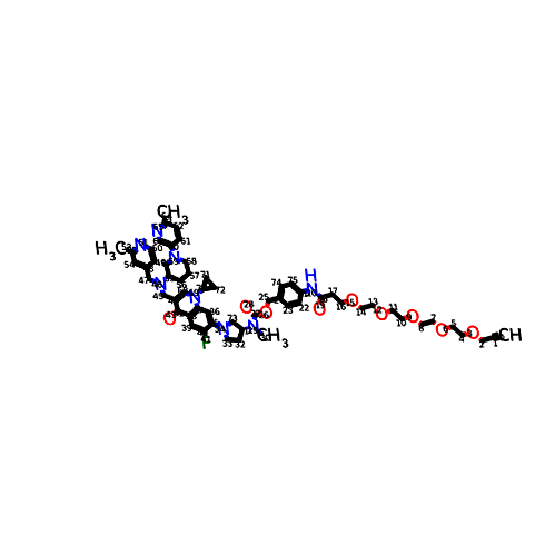 C#CCOCCOCCOCCOCCOCCC(=O)Nc1ccc(COC(=O)N(C)[C@H]2CCN(c3cc4c(cc3F)c(=O)c(CN(Cc3ccnc(C)c3)[C@H]3CCCN(c5ccc(C)nc5)C3)cn4C3CC3)C2)cc1